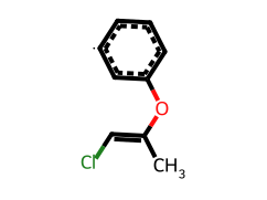 CC(=CCl)Oc1c[c]ccc1